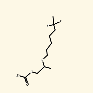 CCC(=O)OCC(C)SCCCCCC(C)(F)F